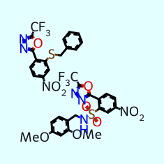 COc1ccc(CNS(=O)(=O)c2cc([N+](=O)[O-])ccc2-c2nnc(C(F)(F)F)o2)c(OC)c1.O=[N+]([O-])c1ccc(-c2nnc(C(F)(F)F)o2)c(SCc2ccccc2)c1